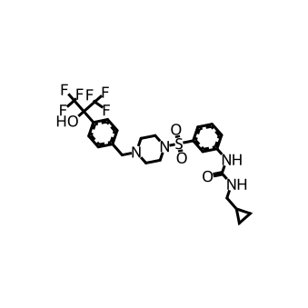 O=C(NCC1CC1)Nc1cccc(S(=O)(=O)N2CCN(Cc3ccc(C(O)(C(F)(F)F)C(F)(F)F)cc3)CC2)c1